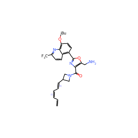 C=C/C=C\C=C\C1CN(C(=O)c2nc(-c3ccc(OC(C)CC)c4nc(C(F)(F)F)ccc34)oc2CN)C1